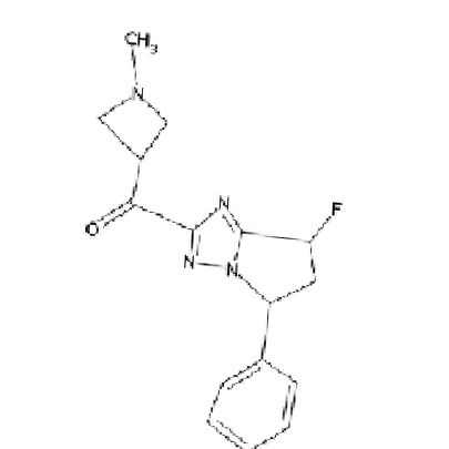 CN1CC(C(=O)c2nc3n(n2)C(c2ccccc2)CC3F)C1